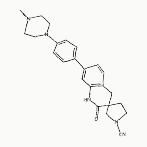 CN1CCN(c2ccc(-c3ccc4c(c3)NC(=O)C3(CCN(C#N)C3)C4)cc2)CC1